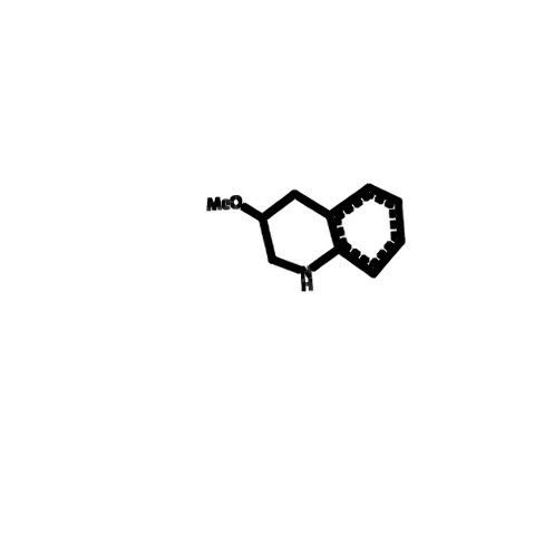 COC1CNc2ccccc2C1